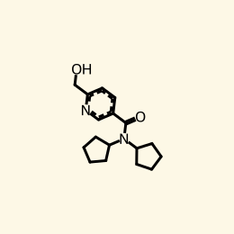 O=C(c1ccc(CO)nc1)N(C1CCCC1)C1CCCC1